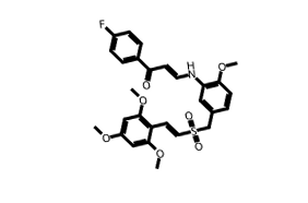 COc1cc(OC)c(C=CS(=O)(=O)Cc2ccc(OC)c(NC=CC(=O)c3ccc(F)cc3)c2)c(OC)c1